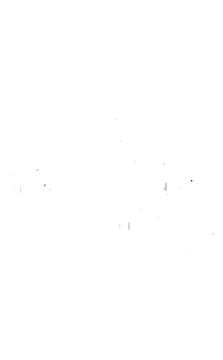 Cc1ccc(COCc2cc(C(O)c3ccc(-n4cnc(C)c4)c(C)c3)c(=O)n([C@@H](C)c3ccc(C)cc3)c2)cc1